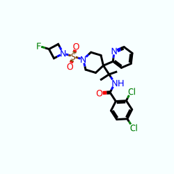 CC(C)(NC(=O)c1ccc(Cl)cc1Cl)C1(c2ccccn2)CCN(S(=O)(=O)N2CC(F)C2)CC1